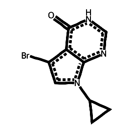 O=c1[nH]cnc2c1c(Br)cn2C1CC1